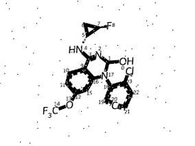 OC1N=C(N[C@@H]2C[C@H]2F)c2ccc(OC(F)(F)F)cc2N1c1ccccc1Cl